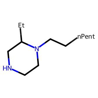 CCCCCCCN1CCNCC1CC